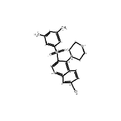 Cc1cc(C)cc(S(=O)(=O)c2cnc3cc(Cl)ccc3c2N2CCOCC2)c1